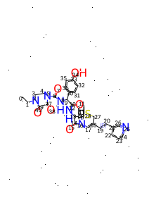 CCN1CCN(C(=O)NC(C(=O)NC2C(=O)N3C=C(/C=C/c4cccnc4)CS[C@H]23)c2ccc(O)cc2)C(=O)C1=O